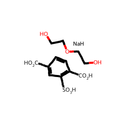 O=C(O)c1ccc(C(=O)O)c(S(=O)(=O)O)c1.OCCOCCO.[NaH]